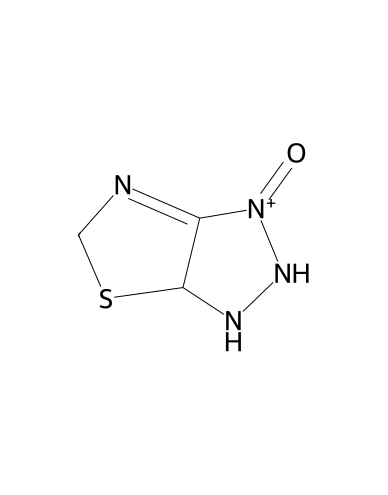 O=[N+]1NNC2SCN=C21